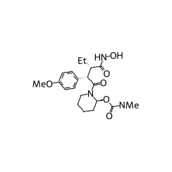 CC[C@H](C(=O)NO)[C@H](C(=O)N1CCCC[C@@H]1OC(=O)NC)c1ccc(OC)cc1